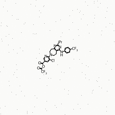 CC(C)c1nc2c(c(Nc3ccc(C(F)(F)F)cc3)n1)CCN(c1ncc(C(=O)OC(=O)C(F)(F)F)cc1Cl)CC2